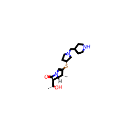 C[C@@H](O)[C@H]1C(=O)N2C=C(S[C@@H]3CCN(CC4CCNCC4)C3)[C@H](C)[C@H]12